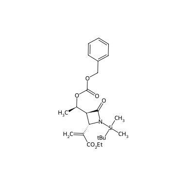 C=C(C(=O)OCC)[C@@H]1[C@@H]([C@@H](C)OC(=O)OCc2ccccc2)C(=O)N1[Si](C)(C)C(C)(C)C